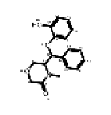 CN1C(=O)COCC1C(Oc1ccccc1O)c1ccccc1